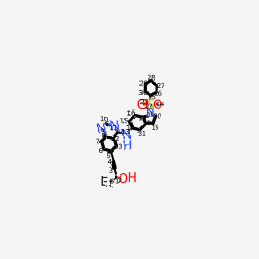 CCC(O)C#Cc1ccc2ncnc(Nc3ccc4c(ccn4S(=O)(=O)c4ccccc4)c3)c2c1